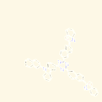 c1ccc2cc(-n3c4ccccc4c4cc(-c5nc(-c6ccc7cc(-c8nc9ccccc9o8)ccc7c6)nc(-c6ccc7cc(-c8nc9ccccc9o8)ccc7c6)n5)ccc43)ccc2c1